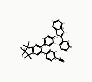 CC1(C)c2cc(-c3ccc(C#N)cc3)c(-c3ccc(-n4c(-c5ccccc5)nc5ccccc54)cc3)cc2C(C)(C)C1(C)C